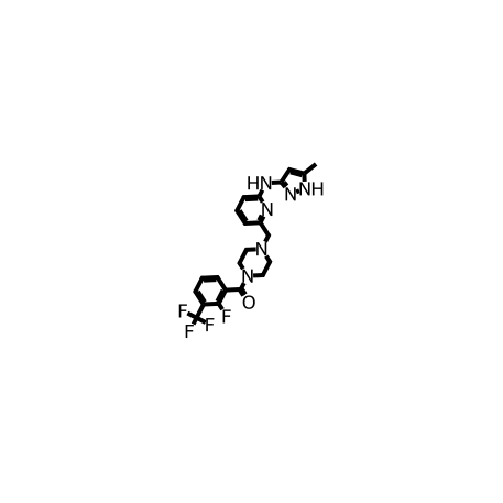 Cc1cc(Nc2cccc(CN3CCN(C(=O)c4cccc(C(F)(F)F)c4F)CC3)n2)n[nH]1